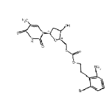 Cc1cn([C@H]2CC(O)[C@@H](COC(=O)OCCc3c(Br)cccc3[N+](=O)[O-])O2)c(=O)[nH]c1=O